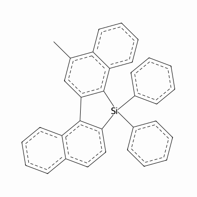 Cc1cc2c(c3ccccc13)[Si](c1ccccc1)(c1ccccc1)c1ccc3ccccc3c1-2